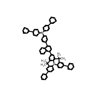 CC1(C)c2cc(-c3ccccc3)ccc2N2c3ccc(-c4ccccc4)cc3C(C)(C)c3cc(-c4ccc(-c5ccc(N(c6ccc(-c7ccccc7)cc6)c6ccc(-c7ccccc7)cc6)cc5)c5ccccc45)cc1c32